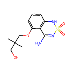 CC(C)(CO)COc1cccc2c1C(N)=NS(=O)(=O)N2